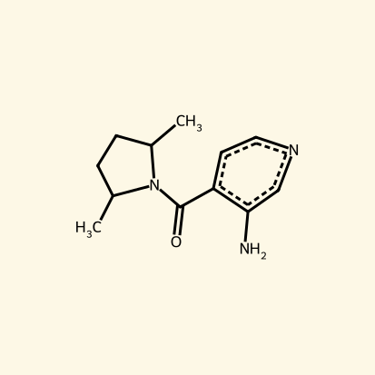 CC1CCC(C)N1C(=O)c1ccncc1N